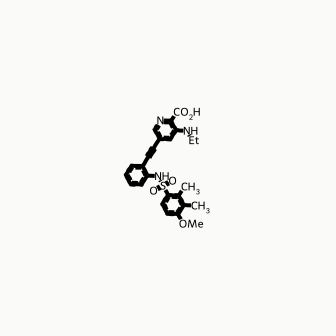 CCNc1cc(C#Cc2ccccc2NS(=O)(=O)c2ccc(OC)c(C)c2C)cnc1C(=O)O